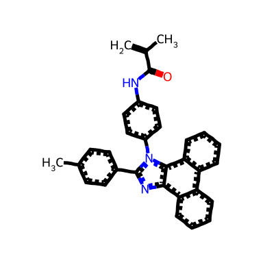 C=C(C)C(=O)Nc1ccc(-n2c(-c3ccc(C)cc3)nc3c4ccccc4c4ccccc4c32)cc1